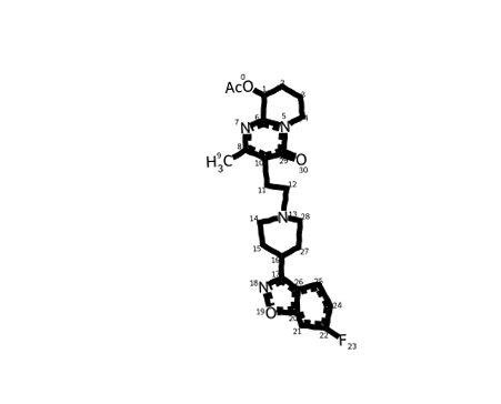 CC(=O)OC1CCCn2c1nc(C)c(CCN1CCC(c3noc4cc(F)ccc34)CC1)c2=O